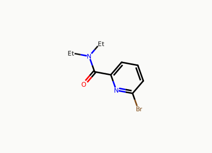 CCN(CC)C(=O)c1cccc(Br)n1